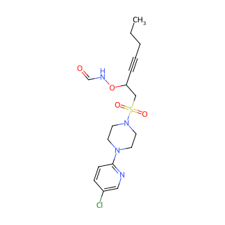 CCCC#CC(CS(=O)(=O)N1CCN(c2ccc(Cl)cn2)CC1)ONC=O